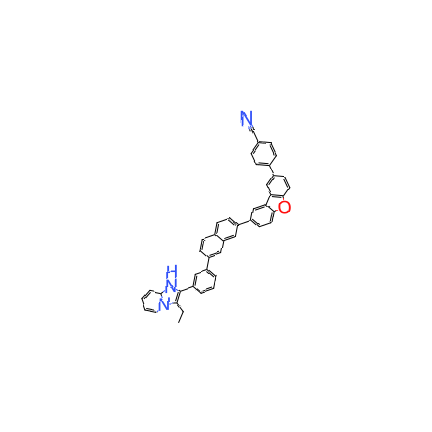 CCC1=C(c2cccc(-c3ccc4ccc(-c5ccc6oc7ccc(-c8ccc(C#N)cc8)cc7c6c5)cc4c3)c2)NC2C=CC=CN12